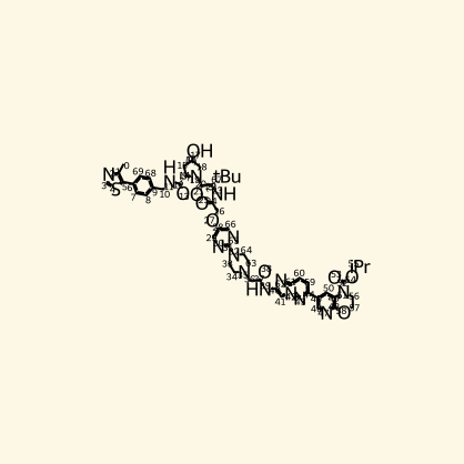 Cc1ncsc1-c1ccc(CNC(=O)[C@@H]2C[C@@H](O)CN2C(=O)[C@@H](NC(=O)COc2cnc(N3CCN(CC(=O)Nc4cn5nc(-c6cnc7c(c6)N(C(=O)OC(C)C)CCO7)ccc5n4)CC3)nc2)C(C)(C)C)cc1